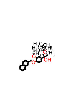 CCC(O)(CO[Si](C)(C)C(C)(C)C)c1ccc(OCc2ccc3ccccc3c2)c(OC)c1